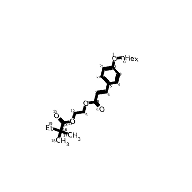 CCCCCCOc1ccc(/C=C/C(=O)OCCOC(=O)C(C)(C)CC)cc1